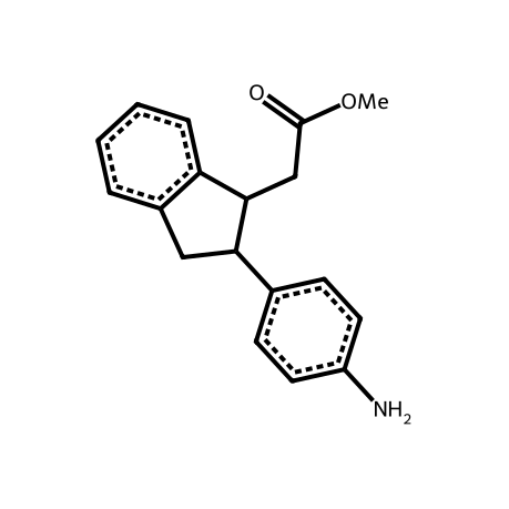 COC(=O)CC1c2ccccc2CC1c1ccc(N)cc1